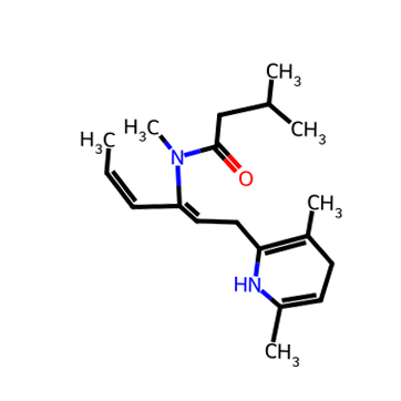 C/C=C\C(=CCC1=C(C)CC=C(C)N1)N(C)C(=O)CC(C)C